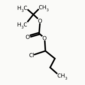 CCCC(Cl)OC(=O)OC(C)(C)C